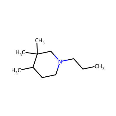 CCCN1CCC(C)C(C)(C)C1